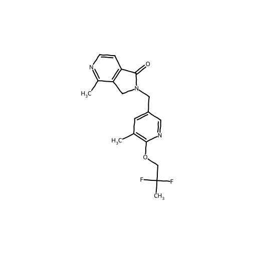 Cc1cc(CN2Cc3c(ccnc3C)C2=O)cnc1OCC(C)(F)F